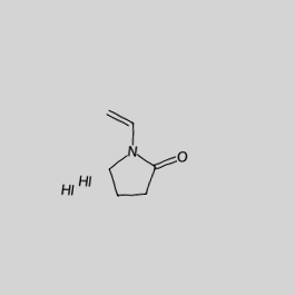 C=CN1CCCC1=O.I.I